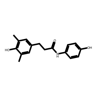 Cc1cc(CCC(=O)Nc2ccc(O)cc2)cc(C)c1O